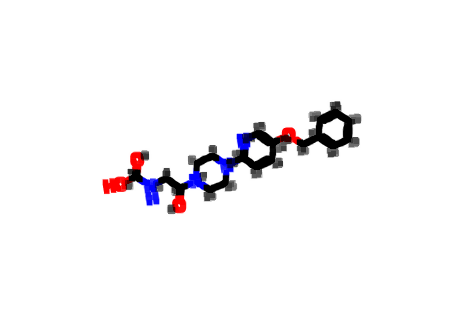 O=C(O)NCC(=O)N1CCN(c2ccc(OCc3ccccc3)cn2)CC1